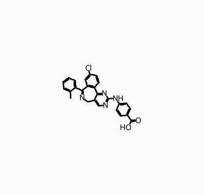 Cc1ccccc1C1=NCc2cnc(Nc3ccc(C(=O)O)cc3)nc2-c2ccc(Cl)cc21